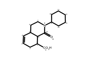 O=C(O)C1CC=CC2CCN(C3CCCCC3)C(=O)C21